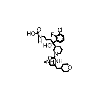 CNCC(CC1CCOCC1)NC(=O)N1CCC[C@@H]([C@@](O)(CCCNC(=O)O)c2cccc(Cl)c2F)C1